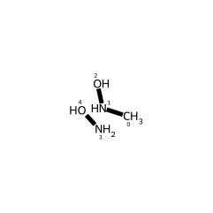 CNO.NO